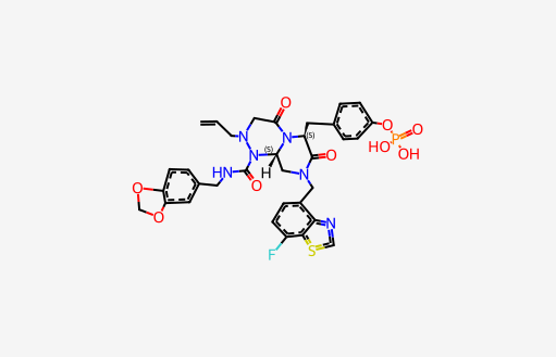 C=CCN1CC(=O)N2[C@@H](Cc3ccc(OP(=O)(O)O)cc3)C(=O)N(Cc3ccc(F)c4scnc34)C[C@@H]2N1C(=O)NCc1ccc2c(c1)OCO2